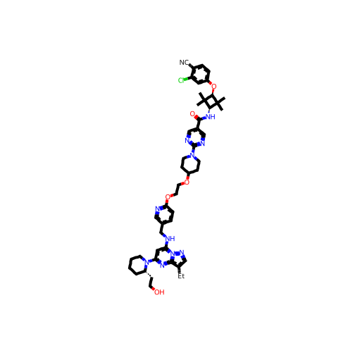 CCc1cnn2c(NCc3ccc(OCCOC4CCN(c5ncc(C(=O)N[C@H]6C(C)(C)[C@H](Oc7ccc(C#N)c(Cl)c7)C6(C)C)cn5)CC4)nc3)cc(N3CCCC[C@H]3CCO)nc12